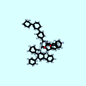 c1ccc(-c2cccc(-c3ccc(-c4nc(-c5ccccc5)nc(-n5c6ccccc6c6c(-c7ccccc7)cc7c8ccccc8n(-c8cccc(-c9ccccc9)c8)c7c65)n4)cc3)c2)cc1